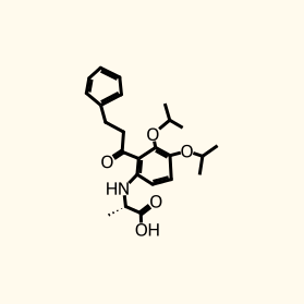 CC(C)Oc1ccc(N[C@@H](C)C(=O)O)c(C(=O)CCc2ccccc2)c1OC(C)C